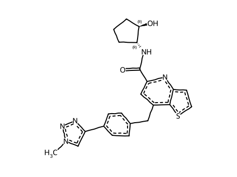 Cn1cc(-c2ccc(Cc3cc(C(=O)N[C@@H]4CCC[C@H]4O)nc4ccsc34)cc2)nn1